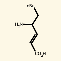 CCCCCC(N)C=CC(=O)O